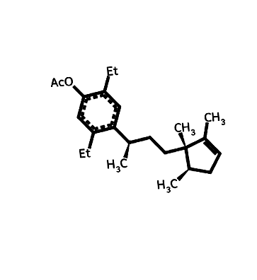 CCc1cc([C@H](C)CC[C@]2(C)C(C)=CC[C@H]2C)c(CC)cc1OC(C)=O